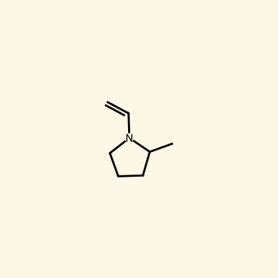 C=CN1CCCC1C